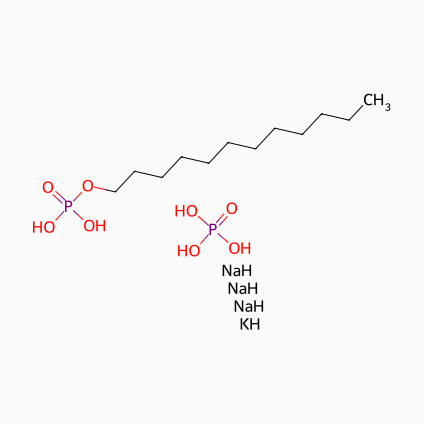 CCCCCCCCCCCCOP(=O)(O)O.O=P(O)(O)O.[KH].[NaH].[NaH].[NaH]